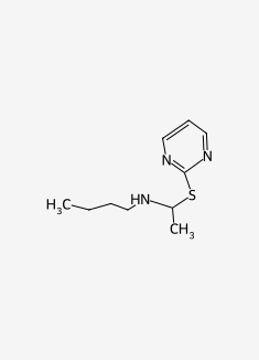 CCCCNC(C)Sc1ncccn1